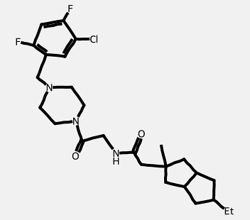 CCC1CC2CC(C)(CC(=O)NCC(=O)N3CCN(Cc4cc(Cl)c(F)cc4F)CC3)CC2C1